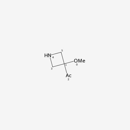 COC1(C(C)=O)CNC1